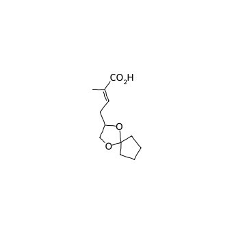 CC(=CCC1COC2(CCCC2)O1)C(=O)O